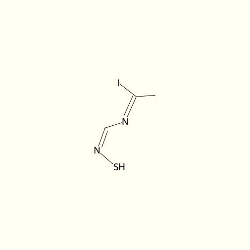 C/C(I)=N/C=N\S